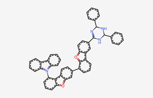 c1ccc(C2N=C(c3ccc4oc5c(-c6ccc7c(c6)oc6cccc(-n8c9ccccc9c9ccccc98)c67)cccc5c4c3)NC(c3ccccc3)N2)cc1